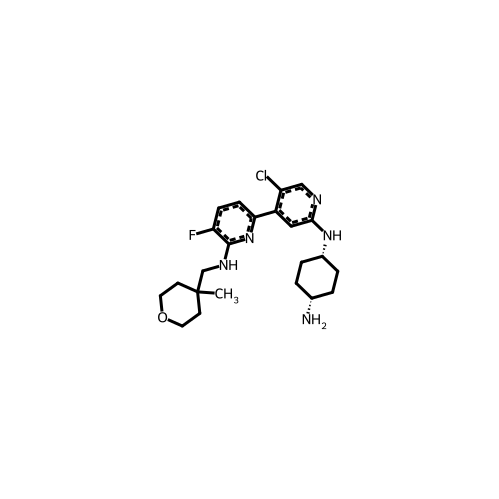 CC1(CNc2nc(-c3cc(N[C@H]4CC[C@@H](N)CC4)ncc3Cl)ccc2F)CCOCC1